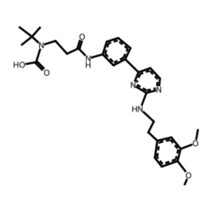 COc1ccc(CCNc2nccc(-c3cccc(NC(=O)CCN(C(=O)O)C(C)(C)C)c3)n2)cc1OC